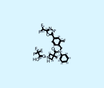 O=C(N(Cc1ccc(-c2nnc(C(F)F)o2)cc1F)c1ccccc1)C1(F)CNC1.O=C(O)C(F)(F)F